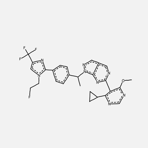 COc1ncnc(C2CC2)c1-c1ncc2cnn(C(C)c3ccc(-c4nc(C(F)(F)F)cn4CCF)cc3)c2n1